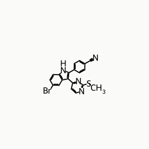 CSc1nccc(-c2c(-c3ccc(C#N)cc3)[nH]c3ccc(Br)cc23)n1